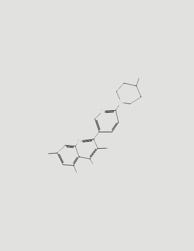 Cc1c(-c2ccc(N3CCC(C)CC3)nc2)nc2cc(F)cc(F)c2c1Cl